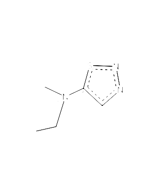 CCN(C)c1[c]nns1